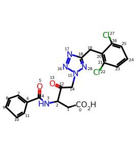 O=C(O)CC(NC(=O)c1ccccc1)C(=O)Cn1nnc(Cc2c(Cl)cccc2Cl)n1